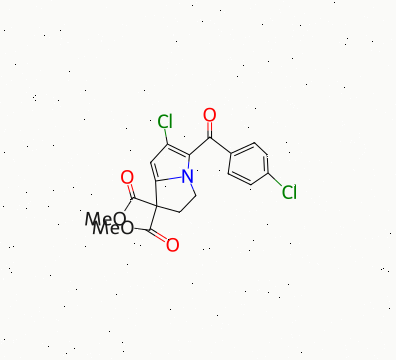 COC(=O)C1(C(=O)OC)CCn2c1cc(Cl)c2C(=O)c1ccc(Cl)cc1